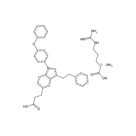 N=C(N)NCCC[C@H](N)C(=O)O.O=C(O)CCc1ccc2c(c1)c(CCc1ccccc1)cn2-c1ccc(Oc2ccccc2)cc1